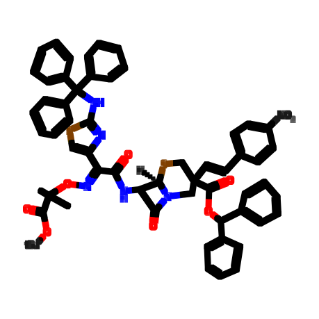 CC(C)(C)OC(=O)C(C)(C)ON=C(C(=O)NC1C(=O)N2CC(C=Cc3ccc([N+](=O)[O-])cc3)(C(=O)OC(c3ccccc3)c3ccccc3)CS[C@H]12)c1csc(NC(c2ccccc2)(c2ccccc2)c2ccccc2)n1